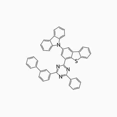 c1ccc(-c2cccc(-c3nc(-c4ccccc4)nc(-c4cc(-n5c6ccccc6c6ccccc65)cc5c4sc4ccccc45)n3)c2)cc1